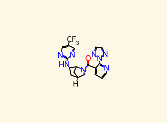 O=C(c1cccnc1-n1nccn1)N1C[C@H]2CC(Nc3ncc(C(F)(F)F)cn3)C1C2